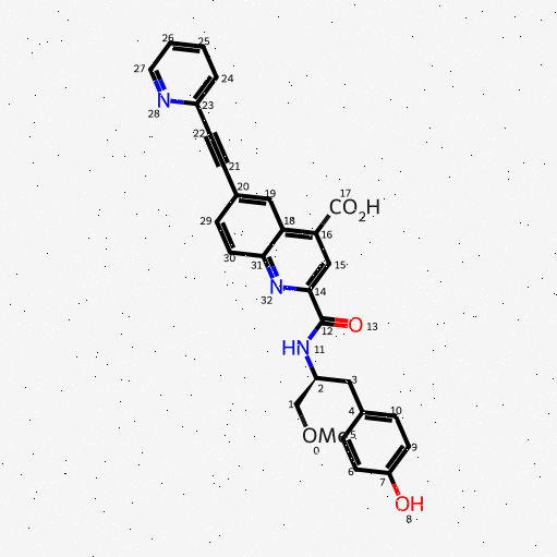 COC[C@H](Cc1ccc(O)cc1)NC(=O)c1cc(C(=O)O)c2cc(C#Cc3ccccn3)ccc2n1